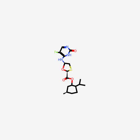 CC(C)C1CC[C@@H](C)CC1OC(=O)[C@H]1O[C@@H](Nc2[nH]c(=O)ncc2F)CS1